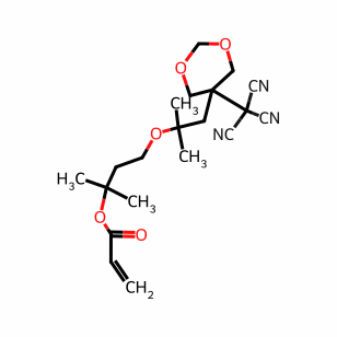 C=CC(=O)OC(C)(C)CCOC(C)(C)CC1(C(C#N)(C#N)C#N)COCOC1